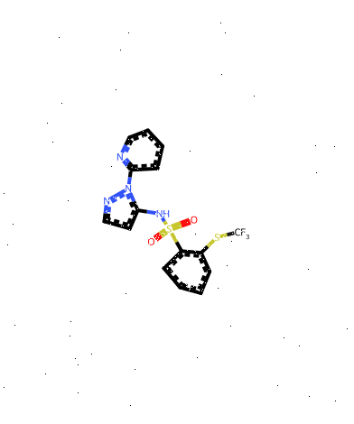 O=S(=O)(Nc1ccnn1-c1ccccn1)c1ccccc1SC(F)(F)F